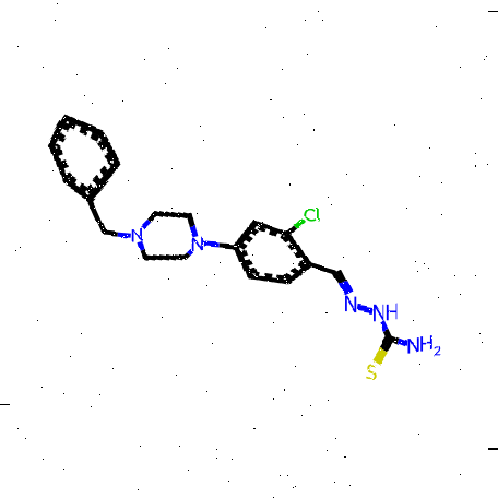 NC(=S)NN=Cc1ccc(N2CCN(Cc3ccccc3)CC2)cc1Cl